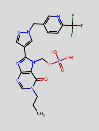 CCCn1cnc2nc(-c3cnn(Cc4ccc(C(F)(F)F)nc4)c3)n(COP(=O)(O)O)c2c1=O